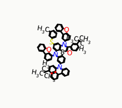 Cc1cccc(Sc2cc3c4c(c2)N(c2cccc5c2oc2ccccc25)c2cc(N(c5ccc(C(C)(C)C)cc5)c5ccccc5-c5ccccc5)ccc2B4c2oc4ccc(C(C)(C)C)cc4c2N3c2ccc3oc4ccccc4c3c2)c1